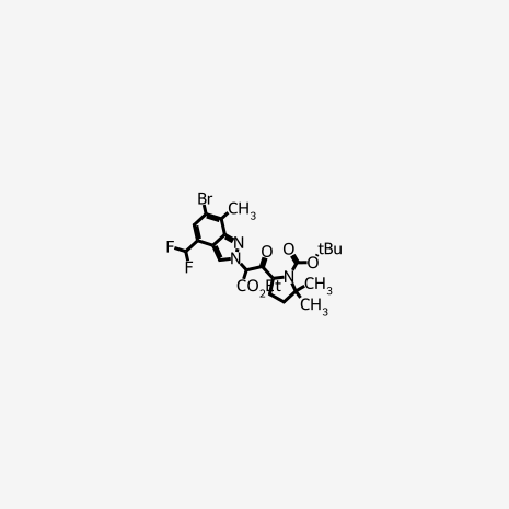 CCOC(=O)C(C(=O)C1CCC(C)(C)N1C(=O)OC(C)(C)C)n1cc2c(C(F)F)cc(Br)c(C)c2n1